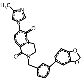 Cc1cn(-c2ccc3n(c2=O)CCN(Cc2cccc(-c4ccc5c(c4)OCO5)c2)C3=O)cn1